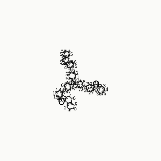 c1ccc2c(c1)ccc1c2oc2cccc(-c3ccc(N(c4ccc(-c5ccc6c(c5)oc5ccccc56)cc4)c4ccc(-c5ccc6c(c5)sc5ccccc56)cc4)cc3)c21